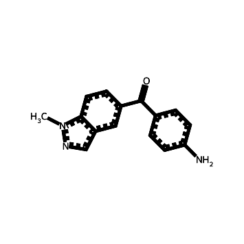 Cn1ncc2cc(C(=O)c3ccc(N)cc3)ccc21